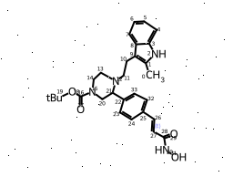 Cc1[nH]c2ccccc2c1CCN1CCN(C(=O)OC(C)(C)C)CC1c1ccc(/C=C/C(=O)NO)cc1